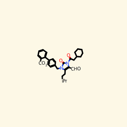 CC(C)CCc1c(C=O)n(C(=O)CC2CCCCC2)c(=O)n1Cc1ccc(-c2ccccc2C(=O)O)cc1